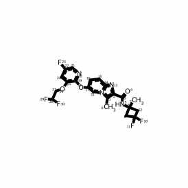 Cc1c(C(=O)NC2(C)CC(F)(F)C2)nc2ccc(Oc3ncc(F)cc3OCC(F)F)cn12